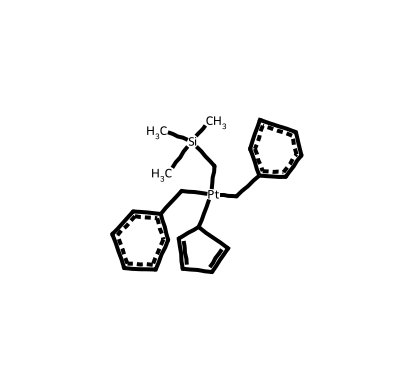 C[Si](C)(C)[CH2][Pt]([CH2]c1ccccc1)([CH2]c1ccccc1)[CH]1C=CC=C1